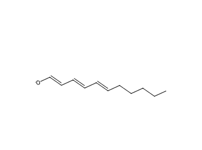 CCCCCC=CC=CC=C[O]